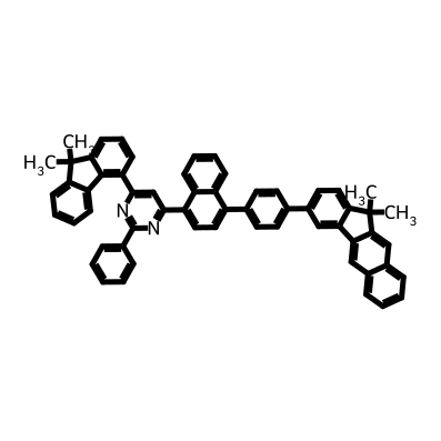 CC1(C)c2ccc(-c3ccc(-c4ccc(-c5cc(-c6cccc7c6-c6ccccc6C7(C)C)nc(-c6ccccc6)n5)c5ccccc45)cc3)cc2-c2cc3ccccc3cc21